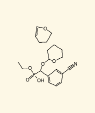 C1=COCCC1.CCOP(=O)(O)C(OC1CCCCO1)c1cccc(C#N)c1